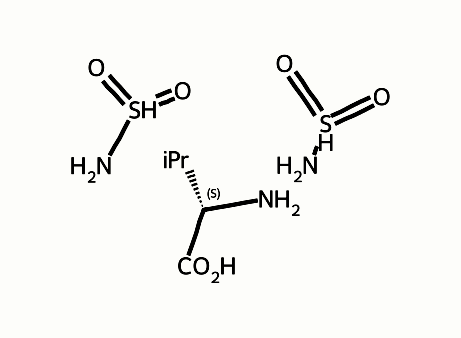 CC(C)[C@H](N)C(=O)O.N[SH](=O)=O.N[SH](=O)=O